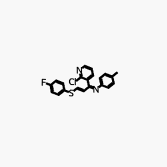 Cc1ccc(N=C(C=CSc2ccc(F)cc2)c2cccnc2Cl)cc1